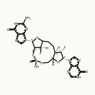 Nc1nc2c(ncn2[C@@H]2OC3CC[C@H]4[C@H](F)[C@H](n5cnc6c(=O)[nH]cnc65)O[C@@H]4COP(O)(=S)O[C@@H]2[C@@H]3F)c(=O)[nH]1